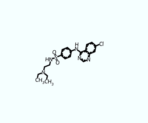 CCN(CC)CCNS(=O)(=O)c1ccc(Nc2ncnc3cc(Cl)ccc23)cc1